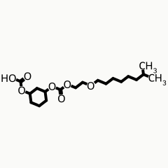 CC(C)CCCCCCOCCOC(=O)OC1CCCC(OC(=O)O)C1